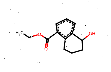 CCOC(=O)c1cccc2c1CCCC2O